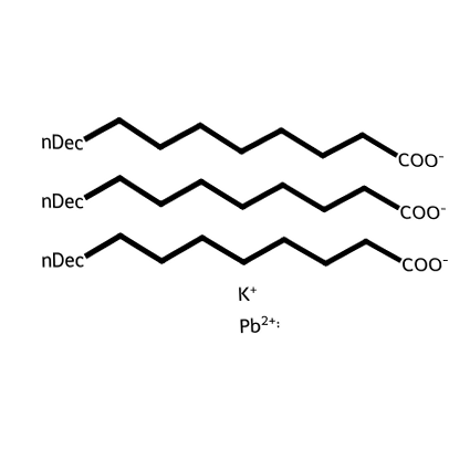 CCCCCCCCCCCCCCCCCC(=O)[O-].CCCCCCCCCCCCCCCCCC(=O)[O-].CCCCCCCCCCCCCCCCCC(=O)[O-].[K+].[Pb+2]